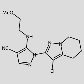 COCCNc1c(C#N)cnn1-c1nn2c(c1Cl)CCCC2